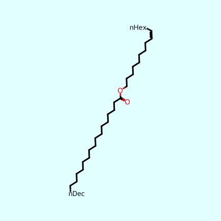 CCCCCC/C=C\CCCCCCCCOC(=O)CCCCCCCCCCCCCCCCCCCCCCCCC